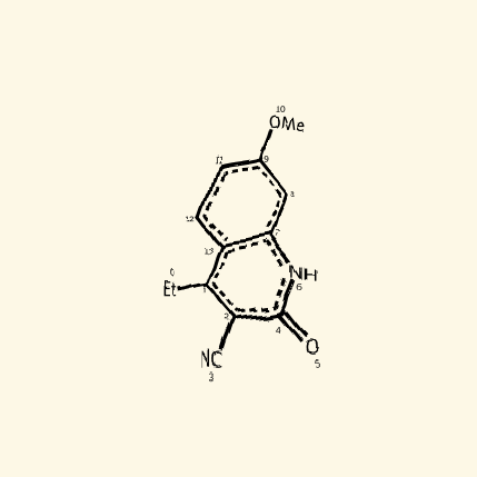 CCc1c(C#N)c(=O)[nH]c2cc(OC)ccc12